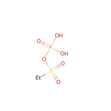 CCS(=O)(=O)OP(=O)(O)O